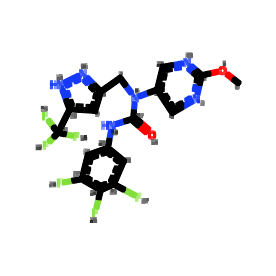 COc1ncc(N(Cc2cc(C(F)(F)F)[nH]n2)C(=O)Nc2cc(F)c(F)c(F)c2)cn1